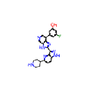 Oc1cc(F)cc(-c2cncc3[nH]c(-c4n[nH]c5ccc(C6CCNCC6)nc45)nc23)c1